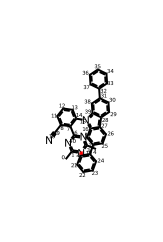 Cc1nc(C)nc(-c2c(C#N)cccc2-n2c3cc(-c4ccccc4)ccc3c3ccc(-c4ccccc4)cc32)n1